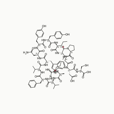 CC[C@H](C)[C@H](NC(=O)[C@H](Cc1ccc(O)cc1)NC(=O)[C@H](Cc1ccc(O)cc1)NC(=O)[C@H](CC(N)=O)NC(=O)[C@H](Cc1c[nH]c2ccccc12)NC(=O)[C@@H](NC(=O)[C@H](Cc1ccccc1)NC(=O)[C@@H](NC(=O)[C@H](C)N)C(C)C)C(C)C)C(=O)N[C@H](C(=O)N1CCC[C@H]1C(=O)N[C@@H](CCCNC(=N)N)C(=O)N[C@@H](CC(=O)O)C(=O)N[C@@H](CS)C(=O)O)C(C)C